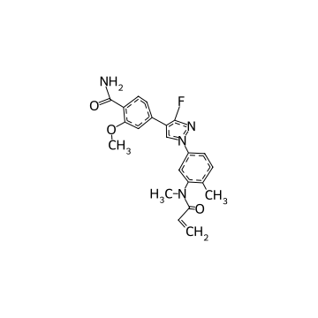 C=CC(=O)N(C)c1cc(-n2cc(-c3ccc(C(N)=O)c(OC)c3)c(F)n2)ccc1C